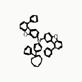 c1ccc(-c2cccc3oc4cc(N(c5ccc(C6(c7ccccc7)CCCCCCC6)cc5)c5ccc6oc7cccc(-c8ccccc8)c7c6c5)ccc4c23)cc1